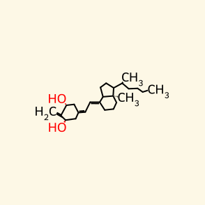 C=C1[C@H](O)CC(=C/C=C2\CCC[C@@]3(C)C2CCC3[C@@H](C)CCCC)C[C@H]1O